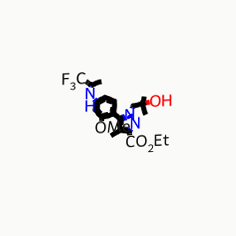 CCOC(=O)c1nn(CC(C)(C)O)c(-c2ccc(NC(C)C(F)(F)F)cc2OC)c1C